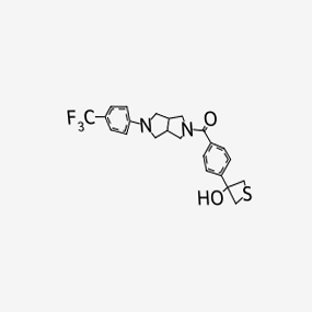 O=C(c1ccc(C2(O)CSC2)cc1)N1CC2CN(c3ccc(C(F)(F)F)cc3)CC2C1